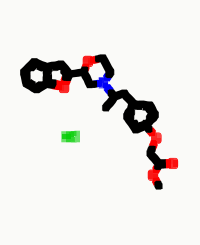 COC(=O)COc1ccc(CC(C)N2CCOC(c3cc4ccccc4o3)C2)cc1.Cl